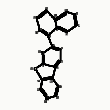 c1ccc2c(-c3ccc4c(n3)oc3cnccc34)nccc2c1